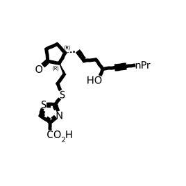 CCCC#CC(O)CC=C[C@H]1CCC(=O)[C@@H]1CCSc1nc(C(=O)O)cs1